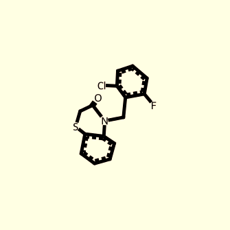 O=C1CSc2ccccc2N1Cc1c(F)cccc1Cl